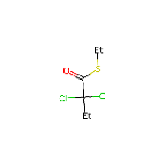 CCSC(=O)C(Cl)(Cl)CC